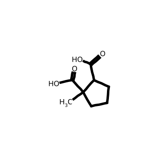 CC1(C(=O)O)CCCC1C(=O)O